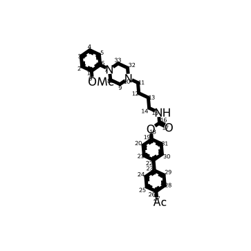 COc1ccccc1N1CCN(CCCCNC(=O)Oc2ccc(-c3ccc(C(C)=O)cc3)cc2)CC1